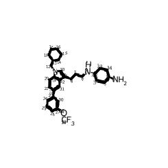 N[C@H]1CC[C@H](NCCCc2cn(CC3CCCCC3)c3ccc(-c4cccc(OC(F)(F)F)c4)cc23)CC1